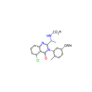 COc1ccc(C)c(-n2c(C(C)NC(=O)O)nc3cccc(Cl)c3c2=O)c1